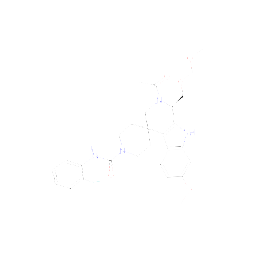 COCOC[C@H]1c2[nH]c3cc(OC)ccc3c2C2(CCN(C(=O)Nc3ccccc3F)CC2)CN1C(C)=O